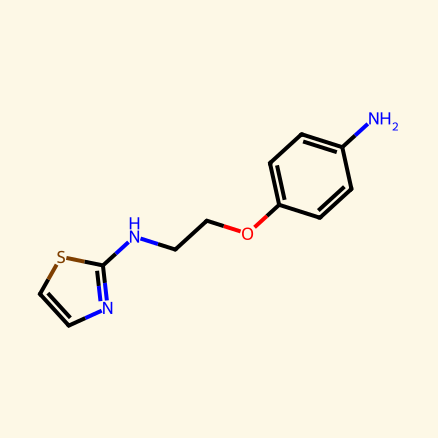 Nc1ccc(OCCNc2nccs2)cc1